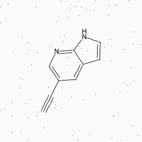 [C]#Cc1cnc2[nH]ccc2c1